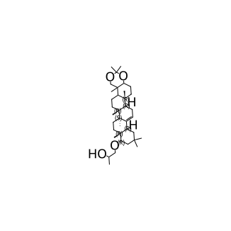 CC(O)CO[C@@H]1CC(C)(C)C[C@@H]2C3=CC[C@@H]4[C@@]5(C)CCC6OC(C)(C)OCC6(C)C5CC[C@@]4(C)[C@]3(C)CC[C@]21C